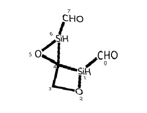 O=C[SiH]1OCC12O[SiH]2C=O